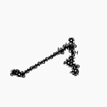 CCC1(O)C(=O)OCc2c1cc1n(c2=O)Cc2c-1nc1cc(F)c(C)cc1c2CN1CCC[C@H](OCNC(=O)CNC(=O)[C@H](Cc2ccccc2)NC(=O)CNC(=O)CNC(=O)COCCOCCOCCOCCOCCOCCOCCOCCOCCNC(=O)C2CCC(CN3C(=O)C=CC3=O)CC2)C1